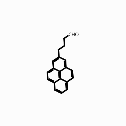 O=CCCCc1cc2ccc3cccc4ccc(c1)c2c34